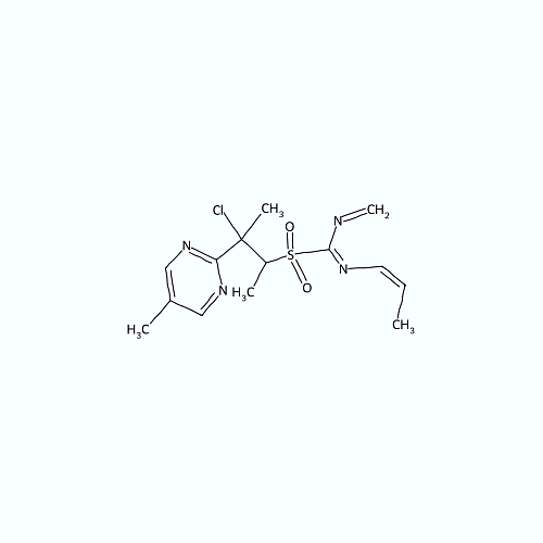 C=N/C(=N\C=C/C)S(=O)(=O)C(C)C(C)(Cl)c1ncc(C)cn1